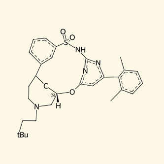 Cc1cccc(C)c1-c1cc2nc(n1)NS(=O)(=O)c1cccc(c1)C1CCN(CCC(C)(C)C)C[C@H](C1)O2